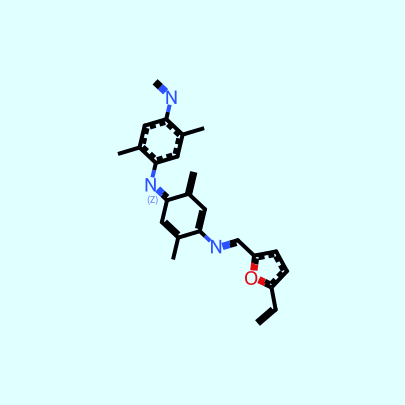 C=Cc1ccc(C=NC2=CC(=C)/C(=N\c3cc(C)c(N=C)cc3C)C=C2C)o1